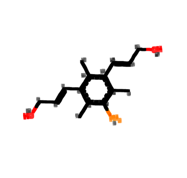 Cc1c(P)c(C)c(/C=C/CO)c(C)c1/C=C/CO